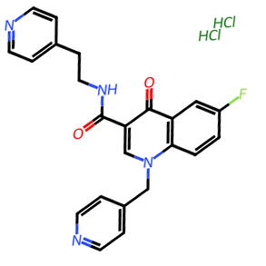 Cl.Cl.O=C(NCCc1ccncc1)c1cn(Cc2ccncc2)c2ccc(F)cc2c1=O